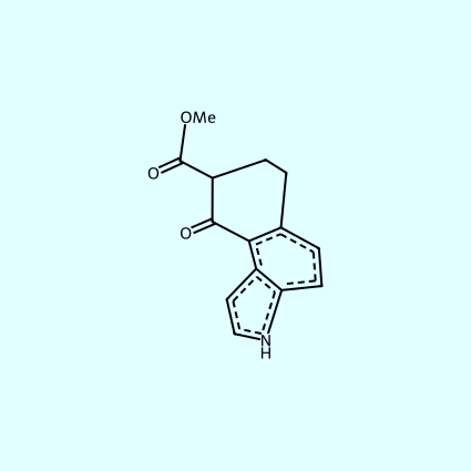 COC(=O)C1CCc2ccc3[nH]ccc3c2C1=O